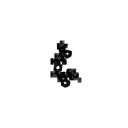 CN(C)c1nc(N[C@H]2CC[C@@H](NC(=S)Nc3ccccc3OC(F)(F)F)CC2)nc2ccccc12